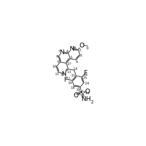 COc1ccc2c(ncc3ccnc(Cc4c(F)cc(S(N)(=O)=O)cc4F)c32)n1